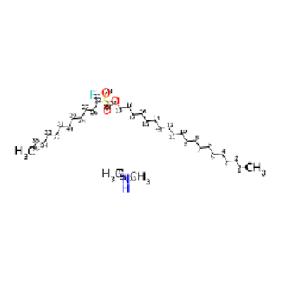 CCCCCCCCCCCCCCCCCCCCOS(=O)(=O)C(F)CCCCCCCCCCC.CNC